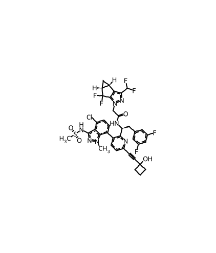 Cn1nc(NS(C)(=O)=O)c2c(Cl)ccc(-c3ccc(C#CC4(O)CCC4)nc3[C@H](Cc3cc(F)cc(F)c3)NC(=O)Cn3nc(C(F)F)c4c3C(F)(F)[C@@H]3C[C@H]43)c21